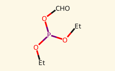 CCOP(OC=O)OCC